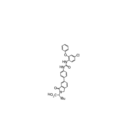 CCC(C)C(C(=O)O)N1Cc2ccc(-c3ccc(NC(=O)Nc4ccc(Cl)cc4Oc4ccccc4)cc3)cc2C1=O